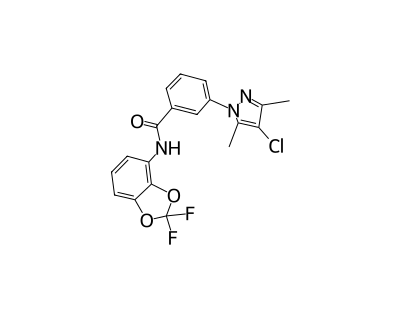 Cc1nn(-c2cccc(C(=O)Nc3cccc4c3OC(F)(F)O4)c2)c(C)c1Cl